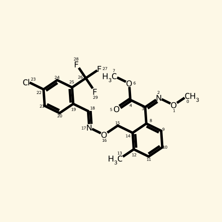 CO/N=C(/C(=O)OC)c1cccc(C)c1CO/N=C/c1ccc(Cl)cc1C(F)(F)F